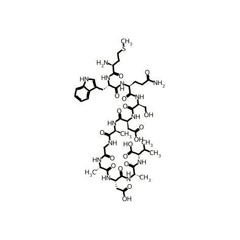 CSCC[C@H](N)C(=O)N[C@@H](Cc1c[nH]c2ccccc12)C(=O)N[C@@H](CCC(N)=O)C(=O)N[C@@H](CO)C(=O)N[C@@H](CC(=O)O)C(=O)N[C@@H](C)C(=O)NCC(=O)N[C@@H](C)C(=O)N[C@@H](CC(=O)O)C(=O)N[C@@H](C)C(=O)N[C@H](C(=O)O)C(C)C